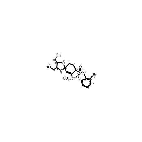 CCOC(=O)C1=CC2(CCC1S(=O)(=O)Nc1ccccc1Br)OC(CO)C(CO)O2